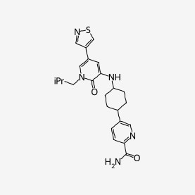 CC(C)Cn1cc(-c2cnsc2)cc(NC2CCC(c3ccc(C(N)=O)nc3)CC2)c1=O